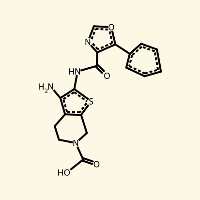 Nc1c(NC(=O)c2ncoc2-c2ccccc2)sc2c1CCN(C(=O)O)C2